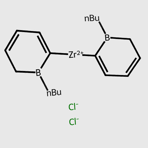 CCCCB1CC=CC=[C]1[Zr+2][C]1=CC=CCB1CCCC.[Cl-].[Cl-]